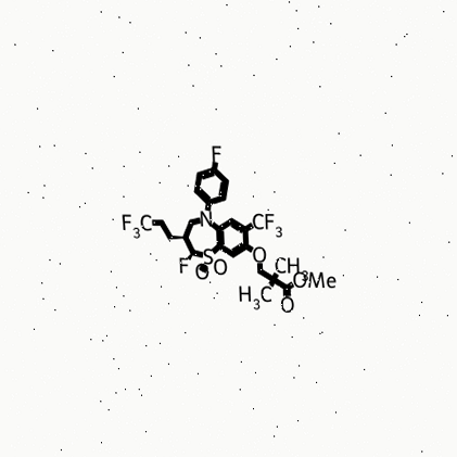 COC(=O)C(C)(C)COc1cc2c(cc1C(F)(F)F)N(c1ccc(F)cc1)C[C@H](CCC(F)(F)F)[C@H](F)S2(=O)=O